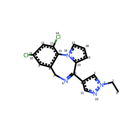 CCn1cc(C2=NCc3cc(Cl)cc(Cl)c3-n3cccc32)cn1